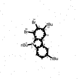 CCCCn1c2ccc(C(C)(C)C)cc2c2cc(C(C)(C)C)c(Br)c(Br)c21